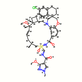 COc1nn(C)cc1C(=O)/N=C/S1(=O)=NC(=O)c2ccc3c(c2)N(C[C@@H]2CC[C@H]2[C@@](C)(OC)/C=C/C[C@H](C)C1)C[C@@]1(CCCc2cc(Cl)ccc21)CO3